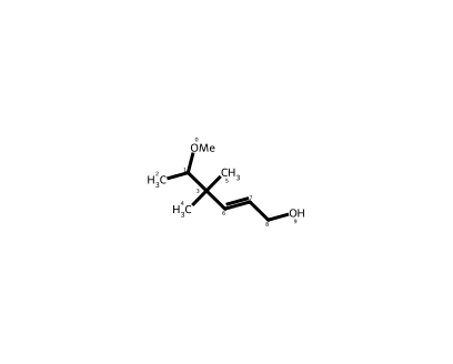 COC(C)C(C)(C)C=CCO